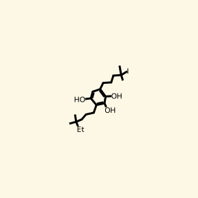 CCC(C)(C)CCCc1c(O)cc(CCCC(C)(C)I)c(O)c1O